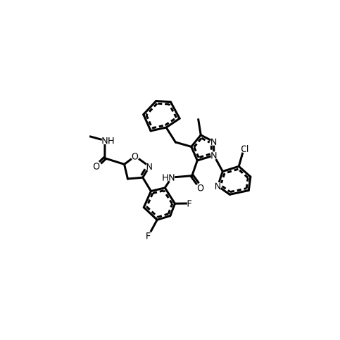 CNC(=O)C1CC(c2cc(F)cc(F)c2NC(=O)c2c(Cc3ccccc3)c(C)nn2-c2ncccc2Cl)=NO1